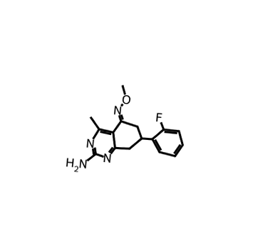 CON=C1CC(c2ccccc2F)Cc2nc(N)nc(C)c21